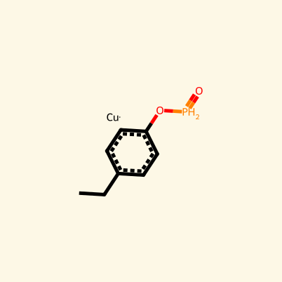 CCc1ccc(O[PH2]=O)cc1.[Cu]